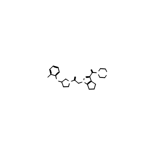 C[C@@H]1CN(C(=O)c2nn(CC(=O)N3CCC(Oc4ccccc4Cl)C3)c3c2CCC3)C[C@H](C)O1